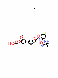 COc1cc(-c2ccc3cc(C(=O)NC4(C(=O)NC5(C#N)CC5)CCC(F)(F)CC4)oc3c2)ccc1OCC(C)(C)O